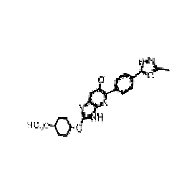 Cc1nnc(-c2ccc(-c3nc4[nH]c(O[C@H]5CC[C@H](C(=O)O)CC5)nc4cc3Cl)cc2)o1